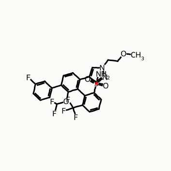 COCCn1cc(-c2ccc(-c3cccc(F)c3)c(OC(F)F)c2-c2c(C(F)(F)F)cccc2S(N)(=O)=O)cn1